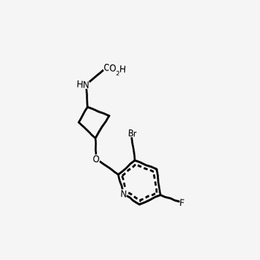 O=C(O)NC1CC(Oc2ncc(F)cc2Br)C1